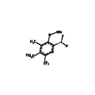 Cc1c(SC(C)(C)C)c(C(F)F)nc(C(F)(F)F)c1C(=O)O